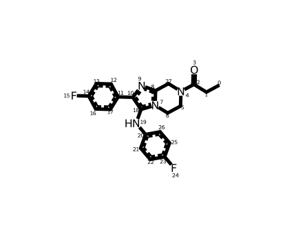 CCC(=O)N1CCn2c(nc(-c3ccc(F)cc3)c2Nc2ccc(F)cc2)C1